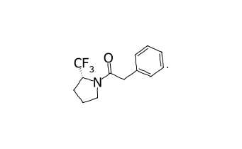 O=C(Cc1c[c]ccc1)N1CCC[C@@H]1C(F)(F)F